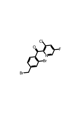 O=C(c1ccc(CBr)cc1Br)c1ncc(F)cc1Cl